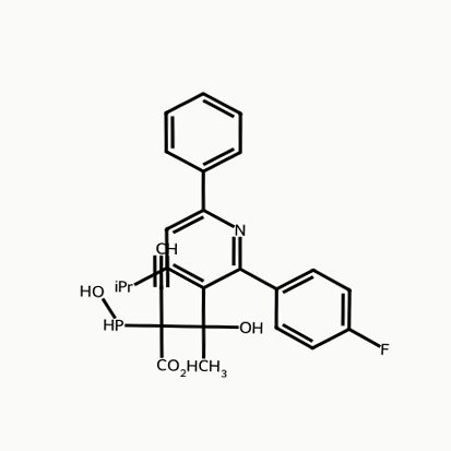 C#CC(PO)(C(=O)O)C(C)(O)c1c(C(C)C)cc(-c2ccccc2)nc1-c1ccc(F)cc1